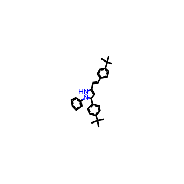 CC(C)(C)c1ccc(C=CC2=CC(c3ccc(C(C)(C)C)cc3)N(c3ccccc3)N2)cc1